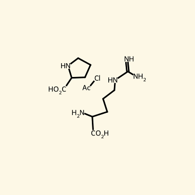 CC(=O)Cl.N=C(N)NCCCC(N)C(=O)O.O=C(O)C1CCCN1